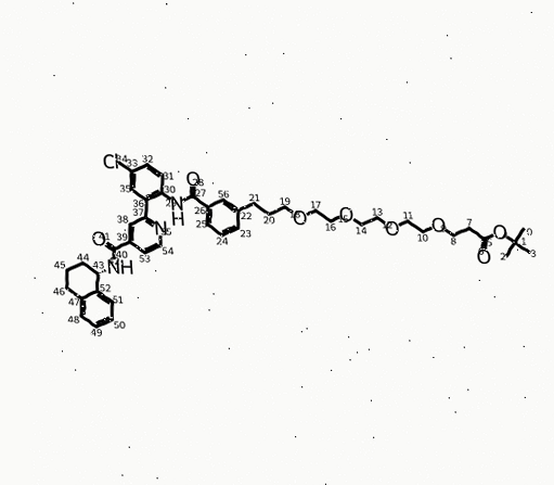 CC(C)(C)OC(=O)CCOCCOCCOCCOCCCc1cccc(C(=O)Nc2ccc(Cl)cc2-c2cc(C(=O)N[C@H]3CCCc4ccccc43)ccn2)c1